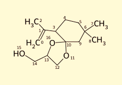 C=C(C)C1CCC(C)(C)CC12OCC(CO)O2